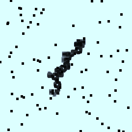 CNS(=O)(=O)c1cccc(OC[C@@H](O)CNC2COC3(CCN(S(=O)(=O)c4cc(OC)cc(-c5ccc(CN)cc5)c4)CC3)C2)c1